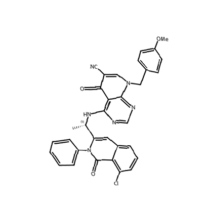 COc1ccc(Cn2cc(C#N)c(=O)c3c(N[C@@H](C)c4cc5cccc(Cl)c5c(=O)n4-c4ccccc4)ncnc32)cc1